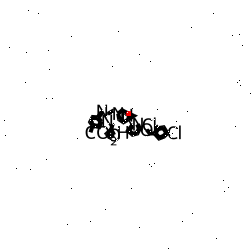 O=C(O)c1ccc2nc(CN3CC[C@@]4(c5cccc(OCc6ccc(Cl)cc6Cl)n5)C[C@H]4C3)n(CC3CCO3)c2c1